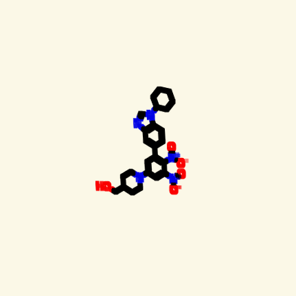 O=[N+]([O-])c1cc(N2CCC(CO)CC2)cc(-c2ccc3c(c2)ncn3C2CCCCC2)c1[N+](=O)[O-]